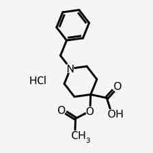 CC(=O)OC1(C(=O)O)CCN(Cc2ccccc2)CC1.Cl